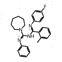 Cc1ccccc1/C(=N\c1ccc(F)cc1)N/C(=N\c1ccccc1)N1CCCCCC1